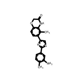 Cc1ccc(-c2nc(-c3ccc4c(c3C)NC(=O)CO4)cs2)cc1N